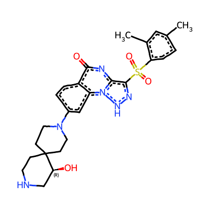 Cc1ccc(S(=O)(=O)c2n[nH]n3c2nc(=O)c2ccc(N4CCC5(CCNC[C@@H]5O)CC4)cc23)c(C)c1